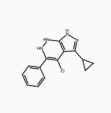 ClC1=C(c2ccccc2)NNc2[nH]nc(C3CC3)c21